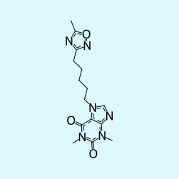 Cc1nc(CCCCCn2cnc3c2c(=O)n(C)c(=O)n3C)no1